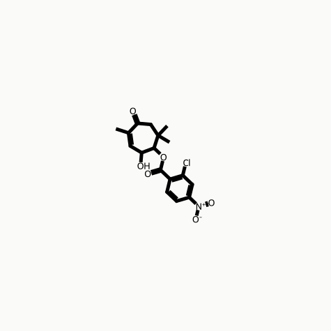 CC1=CC(O)C(OC(=O)c2ccc([N+](=O)[O-])cc2Cl)C(C)(C)CC1=O